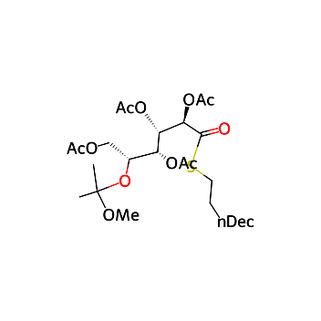 CCCCCCCCCCCCSC(=O)[C@H](OC(C)=O)[C@@H](OC(C)=O)[C@H](OC(C)=O)[C@@H](COC(C)=O)OC(C)(C)OC